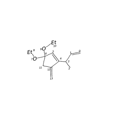 C=CC(C)C1=CC(OCC)(OCC)CC1=C